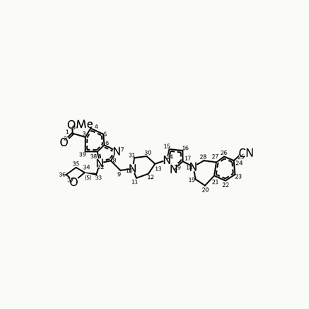 COC(=O)c1ccc2nc(CN3CCC(n4ccc(N5CCc6ccc(C#N)cc6C5)n4)CC3)n(C[C@@H]3CCO3)c2c1